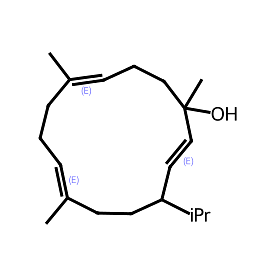 C/C1=C\CCC(C)(O)/C=C/C(C(C)C)CC/C(C)=C/CC1